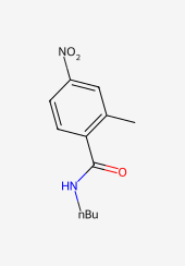 CCCCNC(=O)c1ccc([N+](=O)[O-])cc1C